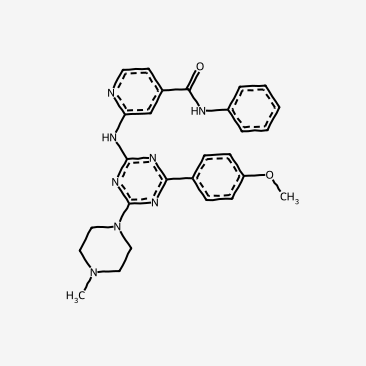 COc1ccc(-c2nc(Nc3cc(C(=O)Nc4ccccc4)ccn3)nc(N3CCN(C)CC3)n2)cc1